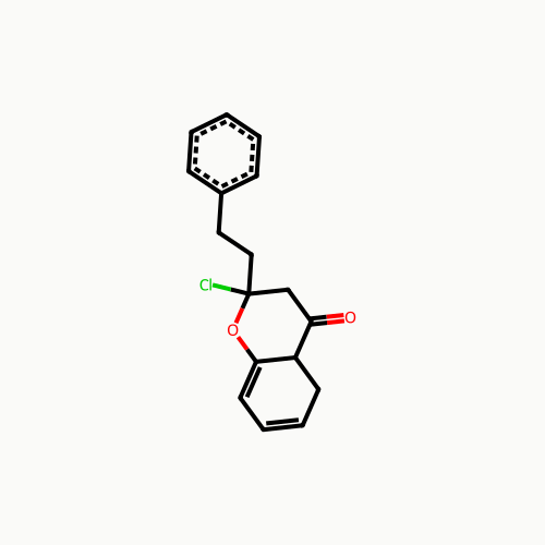 O=C1CC(Cl)(CCc2ccccc2)OC2=CC=CCC12